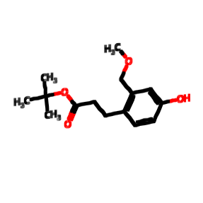 COCc1cc(O)ccc1CCC(=O)OC(C)(C)C